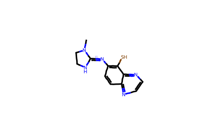 CN1CCN/C1=N\c1ccc2nccnc2c1S